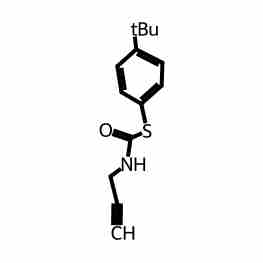 C#CCNC(=O)Sc1ccc(C(C)(C)C)cc1